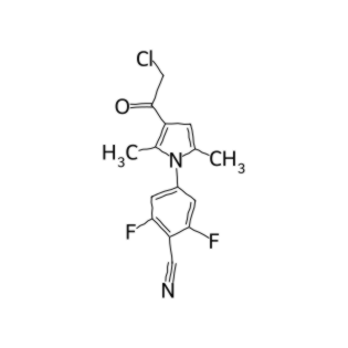 Cc1cc(C(=O)CCl)c(C)n1-c1cc(F)c(C#N)c(F)c1